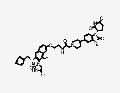 Cn1c(=O)n([C@@H]2CCC(=O)NC2=O)c2ccc(C3CCN(CC(=O)NCCOc4ccc5cc(OCc6ccccc6)c(N6CC(=O)NS6(=O)=O)c(F)c5c4)CC3)cc21